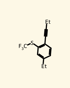 CCC#Cc1ccc(CC)cc1SC(F)(F)F